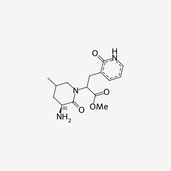 COC(=O)C(Cc1ccc[nH]c1=O)N1CC(C)C[C@H](N)C1=O